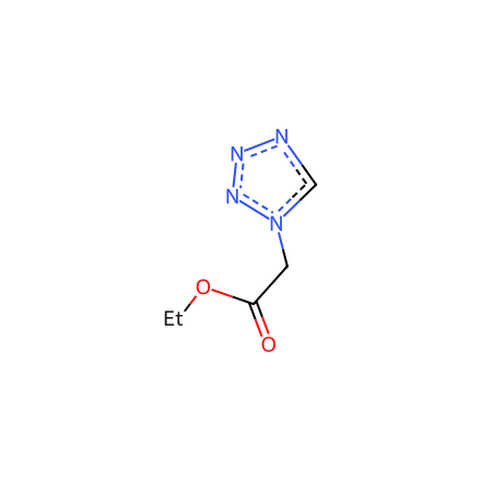 CCOC(=O)Cn1cnnn1